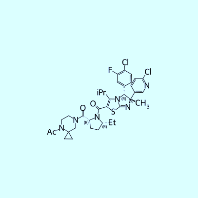 CC[C@@H]1CC[C@H](C(=O)N2CCN(C(C)=O)C3(CC3)C2)N1C(=O)C1=C(C(C)C)N2C(=N[C@@](C)(c3ccc(Cl)nc3)[C@H]2c2ccc(Cl)c(F)c2)S1